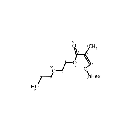 CCCCCCOC=C(C)C(=O)OCCOCCO